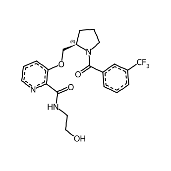 O=C(NCCO)c1ncccc1OC[C@H]1CCCN1C(=O)c1cccc(C(F)(F)F)c1